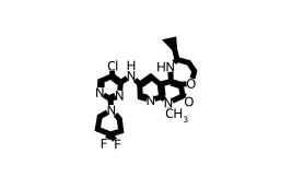 Cn1c(=O)c2c(c3cc(Nc4nc(N5CCC(F)(F)CC5)ncc4Cl)cnc31)NC(C1CC1)CCO2